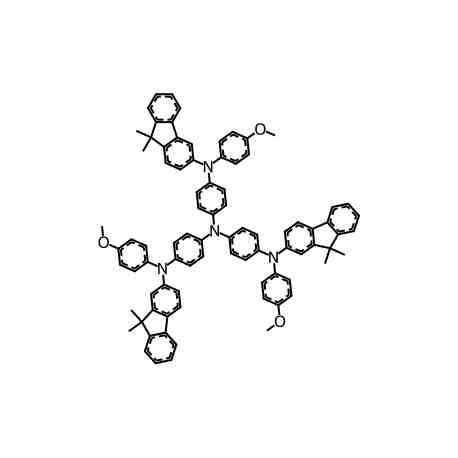 COc1ccc(N(c2ccc(N(c3ccc(N(c4ccc(OC)cc4)c4ccc5c(c4)C(C)(C)c4ccccc4-5)cc3)c3ccc(N(c4ccc(OC)cc4)c4ccc5c(c4)C(C)(C)c4ccccc4-5)cc3)cc2)c2ccc3c(c2)-c2ccccc2C3(C)C)cc1